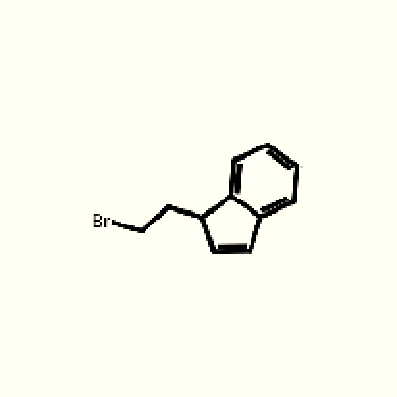 BrCCC1C=Cc2c[c]ccc21